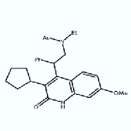 CCN(CC(c1c(C2CCCC2)c(=O)[nH]c2cc(OC)ccc12)C(C)C)C(C)=O